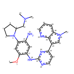 COc1cc(N2CCCC2CN(C)C)c(N)cc1Nc1nccc(-c2cn(C)c3cccnc23)n1